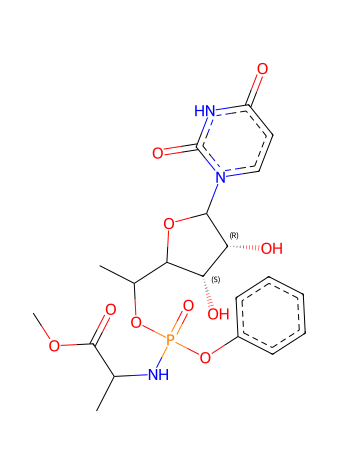 COC(=O)C(C)NP(=O)(Oc1ccccc1)OC(C)C1OC(n2ccc(=O)[nH]c2=O)[C@H](O)[C@@H]1O